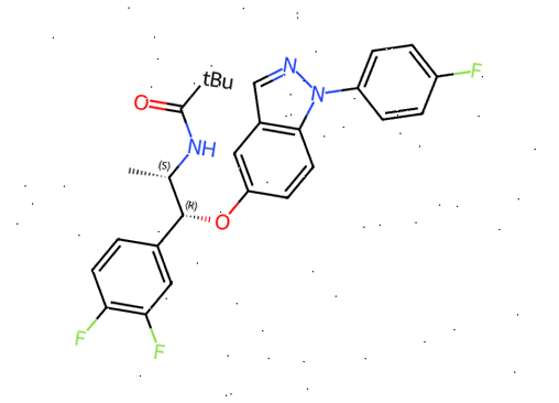 C[C@H](NC(=O)C(C)(C)C)[C@H](Oc1ccc2c(cnn2-c2ccc(F)cc2)c1)c1ccc(F)c(F)c1